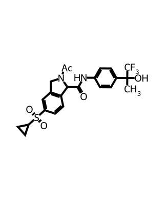 CC(=O)N1Cc2cc(S(=O)(=O)C3CC3)ccc2C1C(=O)Nc1ccc(C(C)(O)C(F)(F)F)cc1